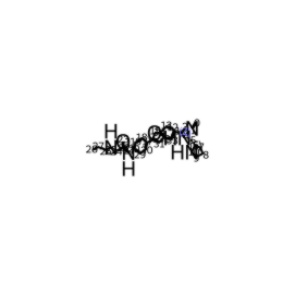 C=N/C=C(\NC[C@@H]1CCCN1)c1ccc2oc(-c3ccc(NC(=O)CNCCC)cc3)cc2c1